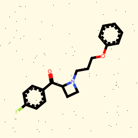 O=C(c1ccc(F)cc1)C1CCN1CCCOc1ccccc1